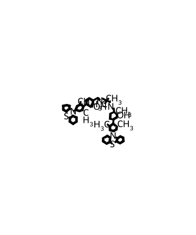 Cc1cc(N2c3ccccc3Sc3ccccc32)cc(C)c1C1=CC(C)(O)C(/C=N/CC(C)(C)C/N=C/c2ccc(-c3c(C)cc(N4c5ccccc5Sc5ccccc54)cc3C)cc2O)C=C1